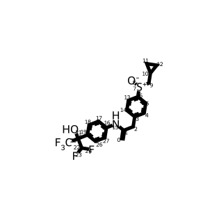 C=C(Cc1ccc([S+]([O-])CC2CC2)cc1)Nc1ccc(C(O)(C(F)F)C(F)(F)F)cc1